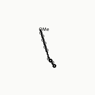 COCCOCCOCCOCCOCCOCCOCCCCCCOc1ccc(OCc2ccccc2)cc1